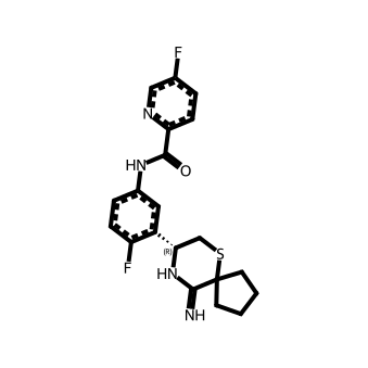 N=C1N[C@H](c2cc(NC(=O)c3ccc(F)cn3)ccc2F)CSC12CCCC2